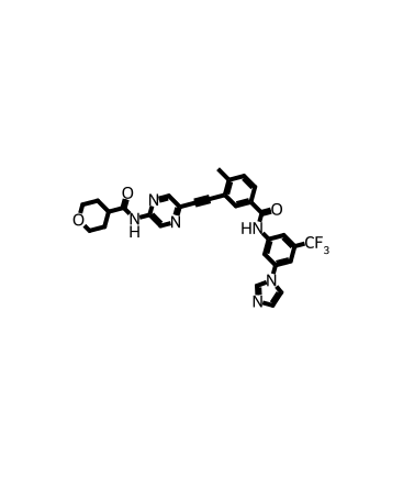 Cc1ccc(C(=O)Nc2cc(-n3ccnc3)cc(C(F)(F)F)c2)cc1C#Cc1cnc(NC(=O)C2CCOCC2)cn1